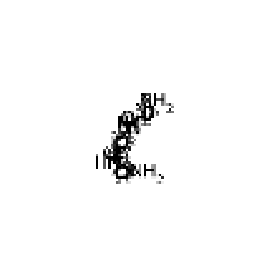 Nc1cccc(NS(=O)(=O)c2ccc(-c3noc(-c4cccc(N)n4)n3)cc2)c1